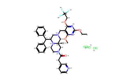 CCOc1nc(OC)c(CN2CC(C(c3ccccc3)c3ccccc3)N3CCN(C(=O)Cc4cccnc4)C[C@H]3C2)c(OCC(F)(F)F)n1.Cl.Cl.Cl